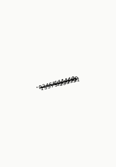 [CH]=C/C=C/C=C/C=C/C=C/C=C/C=C/C=C/C=C/C=C/C=C